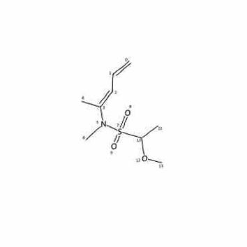 C=C/C=C(\C)N(C)S(=O)(=O)C(C)OC